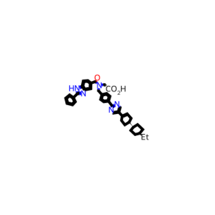 CC[C@H]1CC[C@H](C2CC=C(c3cnc(-c4ccc(CN(CC(=O)O)C(=O)c5ccc6[nH]c(-c7ccccc7)nc6c5)cc4)nc3)CC2)CC1